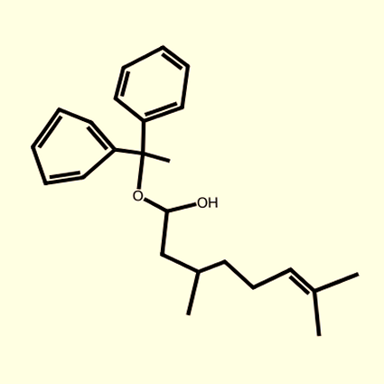 CC(C)=CCCC(C)CC(O)OC(C)(c1ccccc1)c1ccccc1